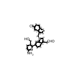 Nc1ccc(CO)c(-c2ccc3c(CC=O)cn(Cc4csc5ccc(Cl)cc45)c3c2)n1